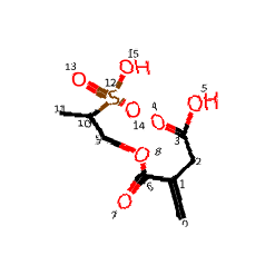 C=C(CC(=O)O)C(=O)OCC(C)S(=O)(=O)O